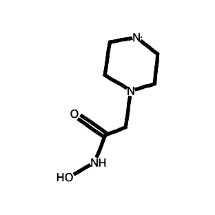 O=C(CN1CC[N]CC1)NO